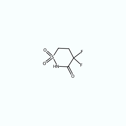 O=C1NS(=O)(=O)CCC1(F)F